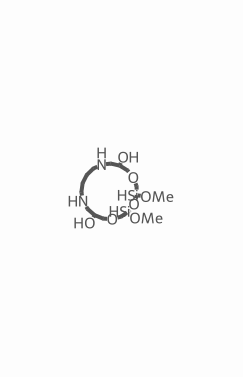 CO[SiH]1COCC(O)CNCCCCNCC(O)COC[SiH](OC)O1